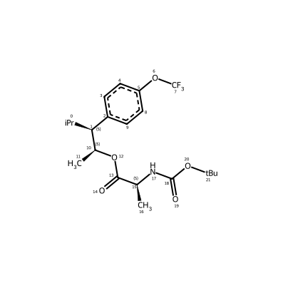 CC(C)[C@@H](c1ccc(OC(F)(F)F)cc1)[C@H](C)OC(=O)[C@H](C)NC(=O)OC(C)(C)C